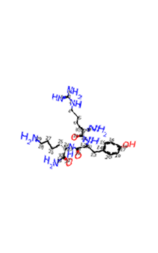 N=C(N)NCCC[C@H](N)C(=O)N[C@@H](Cc1ccc(O)cc1)C(=O)N[C@@H](CCCCN)C(N)=O